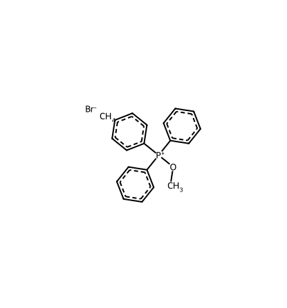 C.CO[P+](c1ccccc1)(c1ccccc1)c1ccccc1.[Br-]